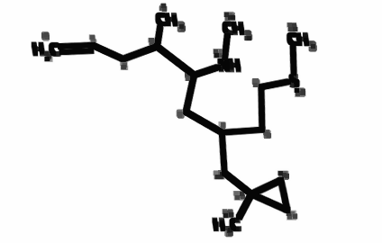 C=CCC(C)C(CC(CCSC)CC1(C)CC1)NC